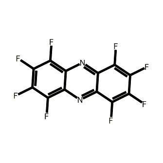 Fc1c(F)c(F)c2nc3c(F)c(F)c(F)c(F)c3nc2c1F